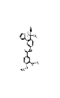 COc1ccc(C(=O)Nc2ccc(C(C)(C)C#N)c(-c3cccs3)c2)cc1OC